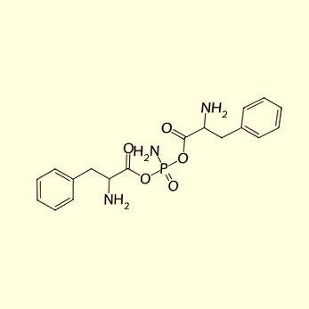 NC(Cc1ccccc1)C(=O)OP(N)(=O)OC(=O)C(N)Cc1ccccc1